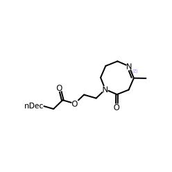 CCCCCCCCCCCC(=O)OCCN1CCC/N=C(/C)CC1=O